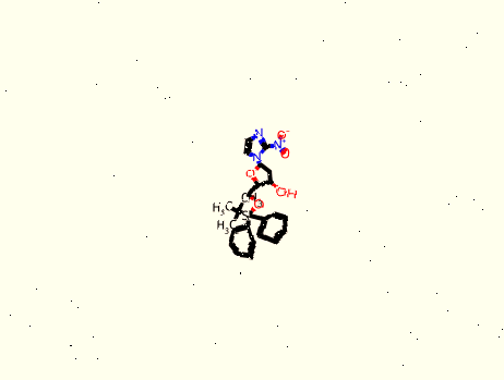 CC(C)(C)[Si](OCC1OC(n2ccnc2[N+](=O)[O-])CC1O)(c1ccccc1)c1ccccc1